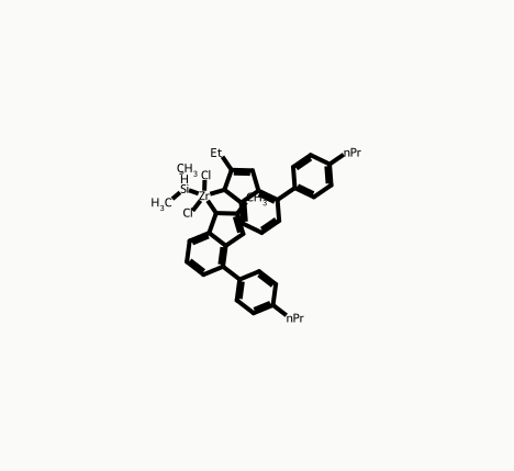 CCCc1ccc(-c2cccc3c2C=C(C)[CH]3[Zr]([Cl])([Cl])([CH]2C(CC)=Cc3c(-c4ccc(CCC)cc4)cccc32)[SiH](C)C)cc1